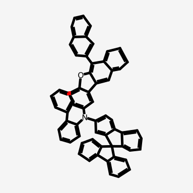 c1ccc(-c2ccccc2N(c2ccc3c(c2)C2(c4ccccc4-c4ccccc42)c2ccccc2-3)c2ccc3oc4c(-c5ccc6ccccc6c5)c5ccccc5cc4c3c2)cc1